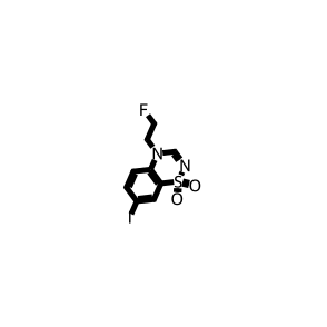 O=S1(=O)N=CN(CCF)c2ccc(I)cc21